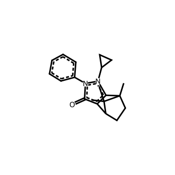 CC12CCC(c3c1n(C1CC1)n(-c1ccccc1)c3=O)C2(C)C